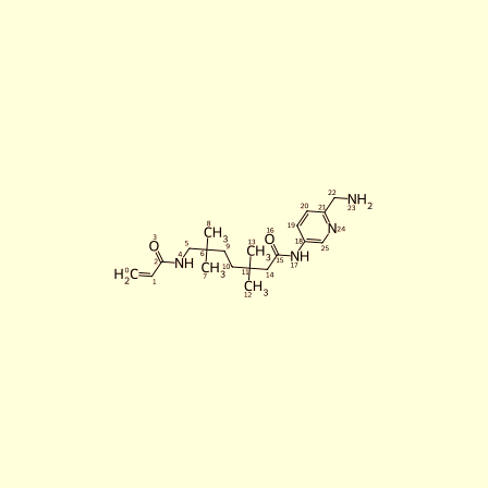 C=CC(=O)NCC(C)(C)CCC(C)(C)CC(=O)Nc1ccc(CN)nc1